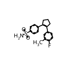 Cc1cc(C2=C(c3ccc(S(N)(=O)=O)cc3)CCC2)ccc1F